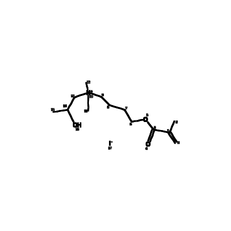 C=C(C)C(=O)OCCCC[N+](C)(C)CC(C)O.[I-]